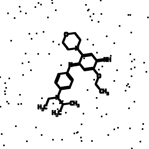 CCOC1=CC(=Nc2ccc(N(CC)C(C)C)cc2)C(N2CCOCC2)=CC1=N